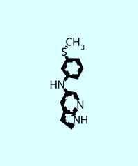 CSc1cccc(Nc2cnc3[nH]ccc3c2)c1